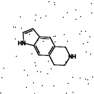 c1cc2cc3c(cc2[nH]1)CCNC3